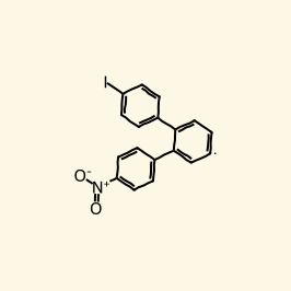 O=[N+]([O-])c1ccc(-c2c[c]ccc2-c2ccc(I)cc2)cc1